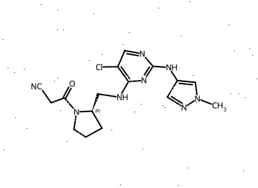 Cn1cc(Nc2ncc(Cl)c(NC[C@H]3CCCN3C(=O)CC#N)n2)cn1